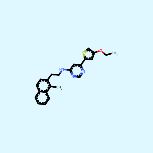 CCOc1csc(-c2cc(NCCc3ccc4ccccc4c3C)ncn2)c1